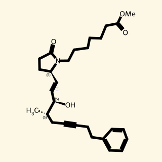 COC(=O)CCCCCCN1C(=O)CC[C@@H]1/C=C/[C@@H](O)[C@@H](C)CC#CCCc1ccccc1